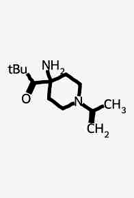 C=C(C)N1CCC(N)(C(=O)C(C)(C)C)CC1